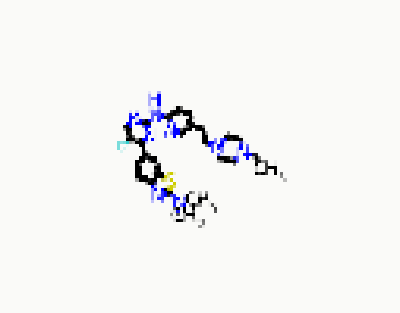 CCN1CCN(CCc2ccc(Nc3ncc(F)c(-c4ccc5nc(N(C)C)sc5c4)n3)nc2)CC1